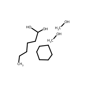 C1CCCCC1.CCCCCC(O)O.CO.CO